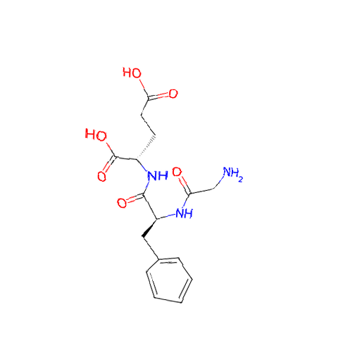 NCC(=O)N[C@@H](Cc1ccccc1)C(=O)N[C@@H](CCC(=O)O)C(=O)O